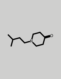 CC(C)CCN1CCC(=O)CC1